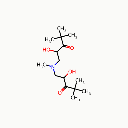 CN(CC(O)C(=O)C(C)(C)C)CC(O)C(=O)C(C)(C)C